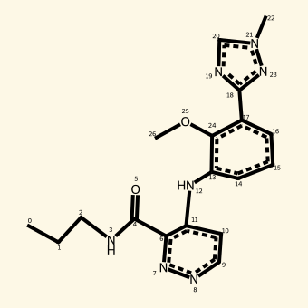 CCCNC(=O)c1nnccc1Nc1cccc(-c2ncn(C)n2)c1OC